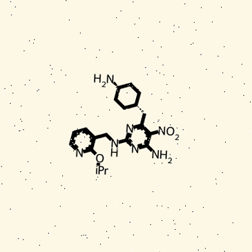 CC(C)Oc1ncccc1CNc1nc(N)c([N+](=O)[O-])c(C[C@H]2CC[C@H](N)CC2)n1